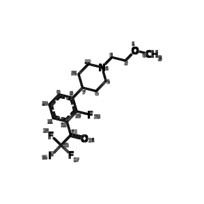 COCCN1CCC(c2cccc(C(=O)C(F)(F)F)c2F)CC1